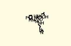 CC(C)C[C@@H](Nc1nc(NCCCn2ccnc2)nc(Nc2cccc(F)c2)n1)C(=O)O